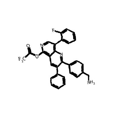 NCc1ccc(-c2nc3c(-c4ccccc4F)cnc(OC(=O)C(F)(F)F)c3cc2-c2ccccc2)cc1